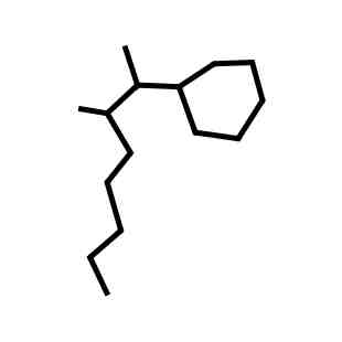 CCCCCC(C)[C](C)C1CCCCC1